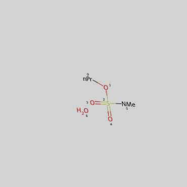 CCCOS(=O)(=O)NC.O